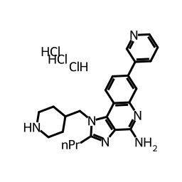 CCCc1nc2c(N)nc3cc(-c4cccnc4)ccc3c2n1CC1CCNCC1.Cl.Cl.Cl